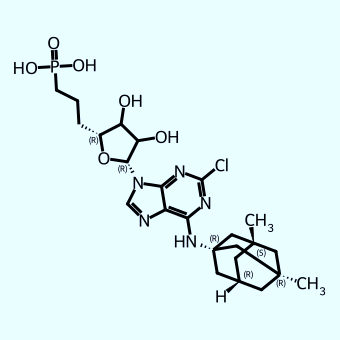 C[C@]12C[C@@H]3C[C@](C)(C1)C[C@@](Nc1nc(Cl)nc4c1ncn4[C@@H]1O[C@H](CCCP(=O)(O)O)C(O)C1O)(C3)C2